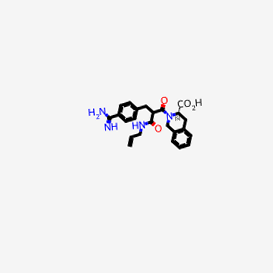 C=CCNC(=O)C(Cc1ccc(C(=N)N)cc1)C(=O)N1Cc2ccccc2C[C@H]1C(=O)O